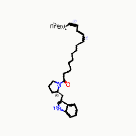 CCCCC/C=C\C/C=C\CCCCCCCC(=O)N1CCC[C@@H]1Cc1c[nH]c2ccccc12